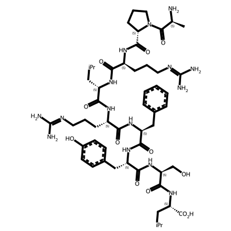 CC(C)C[C@H](NC(=O)[C@H](CO)NC(=O)[C@H](Cc1ccc(O)cc1)NC(=O)[C@H](Cc1ccccc1)NC(=O)[C@H](CCCN=C(N)N)NC(=O)[C@H](CC(C)C)NC(=O)[C@H](CCCN=C(N)N)NC(=O)[C@@H]1CCCN1C(=O)[C@H](C)N)C(=O)O